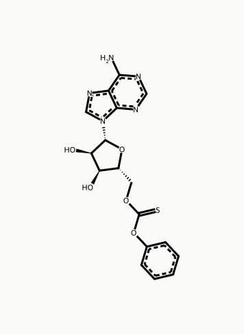 Nc1ncnc2c1ncn2[C@@H]1O[C@H](COC(=S)Oc2ccccc2)[C@@H](O)[C@H]1O